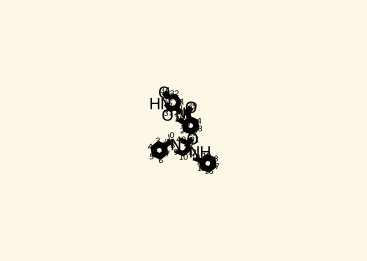 C[C@@H](c1ccccc1)N1CCC(NCc2ccccc2)C(Oc2ccc3c(c2)CN(C2CCC(=O)NC2=O)C3=O)C1